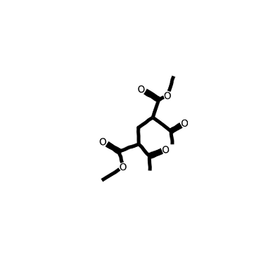 COC(=O)C(CC(C(C)=O)C(=O)OC)C(C)=O